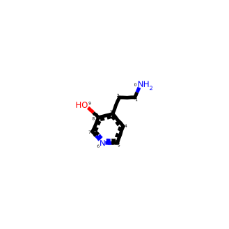 NCCc1ccncc1O